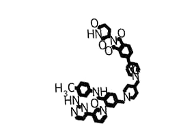 Cc1ccc(NC(=O)c2ccc(CN3CCC(CN4CC5CCC4CN5c4ccc5c(c4)C(=O)N(C4CCC(=O)NC4=O)C5=O)CC3)cc2)cc1Nc1nccc(-c2cccnc2)n1